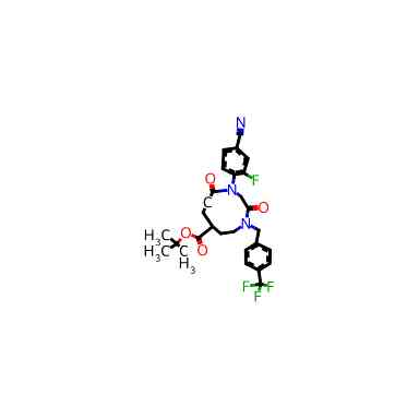 CC(C)(C)OC(=O)C1CCC(=O)N(c2ccc(C#N)cc2F)CC(=O)N(Cc2ccc(C(F)(F)F)cc2)CC1